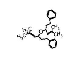 CC(C)=CC(CCc1ccccc1)OC(C=C(C)C)CCc1ccccc1